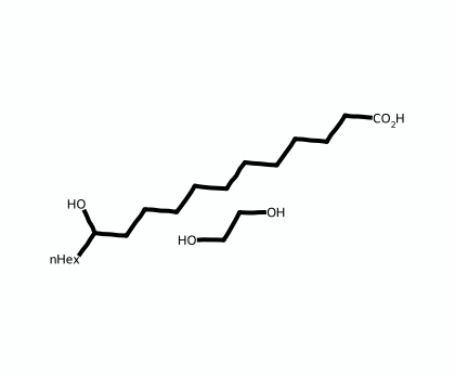 CCCCCCC(O)CCCCCCCCCCC(=O)O.OCCO